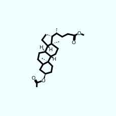 COC(=O)CC[C@@H](C)[C@H]1CC[C@H]2[C@@H]3CCC4C[C@H](OC(C)=O)CC[C@]4(C)[C@H]3CC[C@]12C